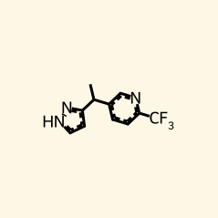 CC(c1ccc(C(F)(F)F)nc1)c1cc[nH]n1